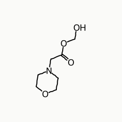 O=C(CN1CCOCC1)OCO